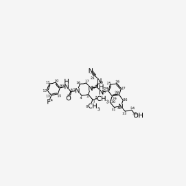 CC(C)C1CN(C(=O)Nc2cccc(F)c2)CCN1/C(=N\C#N)Nc1cccc2c1CCN(CCO)C2